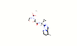 Cc1cccn2c(C(C)(NC(=O)[C@@H]3CN(C(=O)OC(C)(C)C)CCO3)C3CC3)ncc12